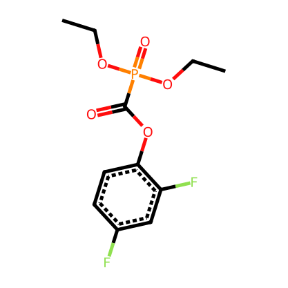 CCOP(=O)(OCC)C(=O)Oc1ccc(F)cc1F